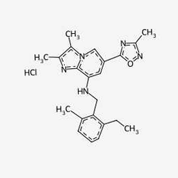 CCc1cccc(C)c1CNc1cc(-c2nc(C)no2)cn2c(C)c(C)nc12.Cl